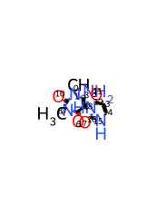 Cn1c(N)cc(=O)n(C)c1=O.O=c1cc[nH]c(=O)[nH]1